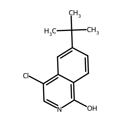 CC(C)(C)c1ccc2c(O)ncc(Cl)c2c1